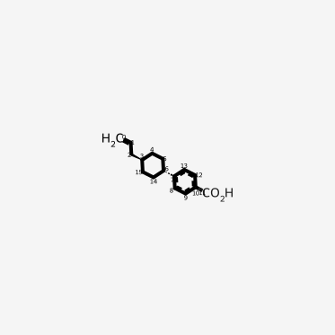 C=CC[C@H]1CC[C@H](c2ccc(C(=O)O)cc2)CC1